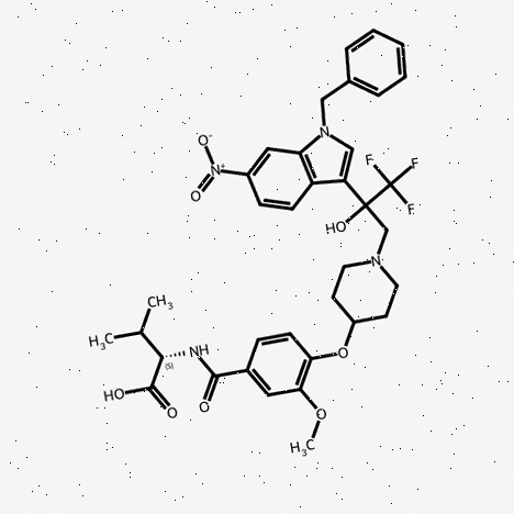 COc1cc(C(=O)N[C@H](C(=O)O)C(C)C)ccc1OC1CCN(CC(O)(c2cn(Cc3ccccc3)c3cc([N+](=O)[O-])ccc23)C(F)(F)F)CC1